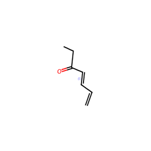 C=C/C=C/C(=O)CC